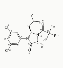 CC(C)C[C@@H]1N(c2cc(Cl)cc(Cl)c2)C(=O)[C@@H](C)N1C(=O)C(F)(F)F